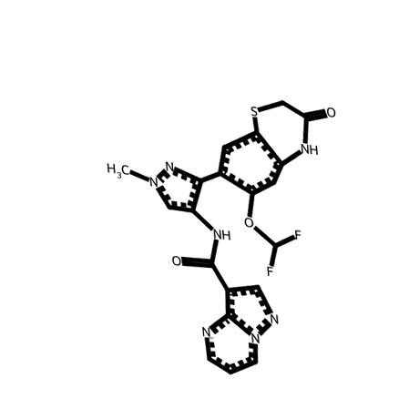 Cn1cc(NC(=O)c2cnn3cccnc23)c(-c2cc3c(cc2OC(F)F)NC(=O)CS3)n1